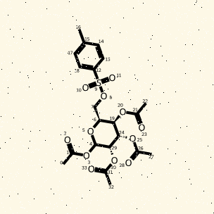 CC(=O)OC1O[C@@H](COS(=O)(=O)c2ccc(C)cc2)[C@@H](OC(C)=O)[C@H](OC(C)=O)[C@@H]1OC(C)=O